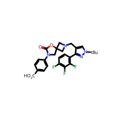 CC(C)(C)n1cc(CN2CC3(C2)CN(c2ccc(C(=O)O)cc2)C(=O)O3)c(-c2ccc(F)c(F)c2F)n1